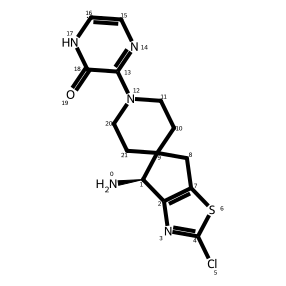 N[C@@H]1c2nc(Cl)sc2CC12CCN(c1nc[c][nH]c1=O)CC2